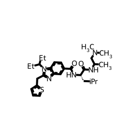 CCC(CC)n1c(Cc2cccs2)nc2cc(C(=O)N[C@@H](CC(C)C)C(=O)NC(C)CN(C)C)ccc21